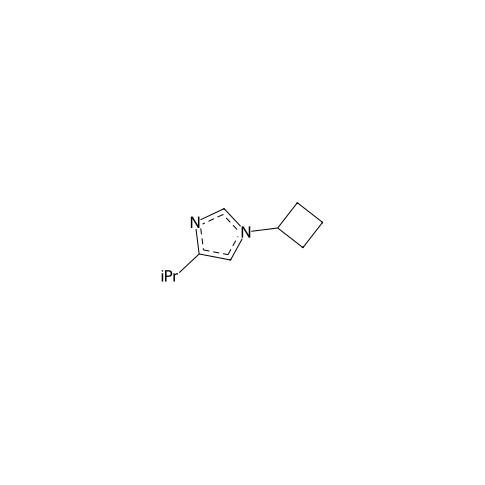 CC(C)c1cn(C2CCC2)cn1